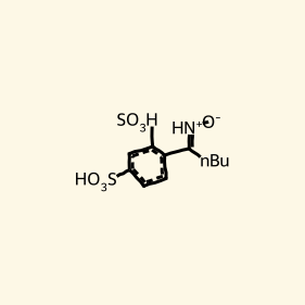 CCCCC(=[NH+][O-])c1ccc(S(=O)(=O)O)cc1S(=O)(=O)O